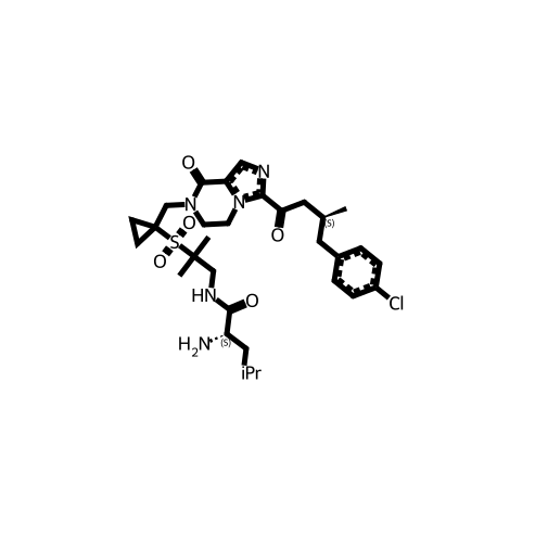 CC(C)C[C@H](N)C(=O)NCC(C)(C)S(=O)(=O)C1(CN2CCn3c(cnc3C(=O)C[C@@H](C)Cc3ccc(Cl)cc3)C2=O)CC1